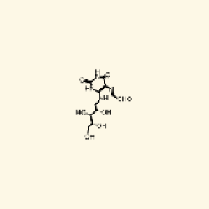 O=C/C=N/c1c(NC[C@H](O)[C@H](O)[C@H](O)CO)[nH]c(=O)[nH]c1=O